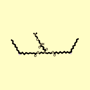 CCCCCCCC/C=C\CCCCCCCC(=O)OCCCN(CCCOC(=O)CCCCCCC/C=C\CCCCCCCC)C(=O)C=CC(=O)NCCOCCN(C)C